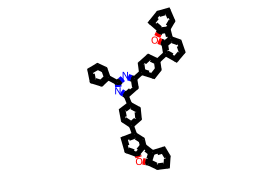 c1ccc(-c2nc(-c3ccc(-c4ccc5oc6ccccc6c5c4)cc3)cc(-c3ccc(-c4cccc5c4oc4ccccc45)cc3)n2)cc1